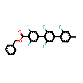 Cc1ccc(-c2cc(F)c(-c3cc(F)c(C(=O)OCc4ccccc4)c(F)c3)c(F)c2)c(F)c1